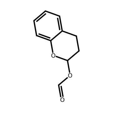 O=COC1CCc2ccccc2O1